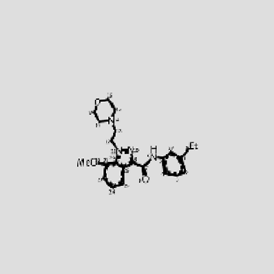 CCc1cccc(NC(=O)c2nn(CCN3CCOCC3)c3c(OC)cccc23)c1